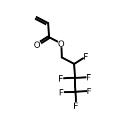 C=CC(=O)OCC(F)C(F)(F)C(F)(F)F